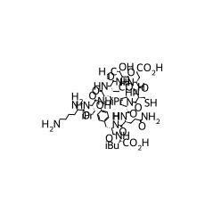 CC[C@H](C)[C@H](NC(=O)[C@H](Cc1ccc(O)cc1)NC(=O)[C@H](CCC(N)=O)NC(=O)[C@@H]1CCCN1C(=O)[C@H](CS)NC(=O)[C@H](CCC(=O)O)NC(=O)[C@@H](NC(=O)[C@H](CCC(=O)O)NC(=O)[C@H](CC(C)C)NC(=O)[C@H](CC(C)C)NC(=O)[C@@H](N)CCCCN)[C@@H](C)O)C(=O)O